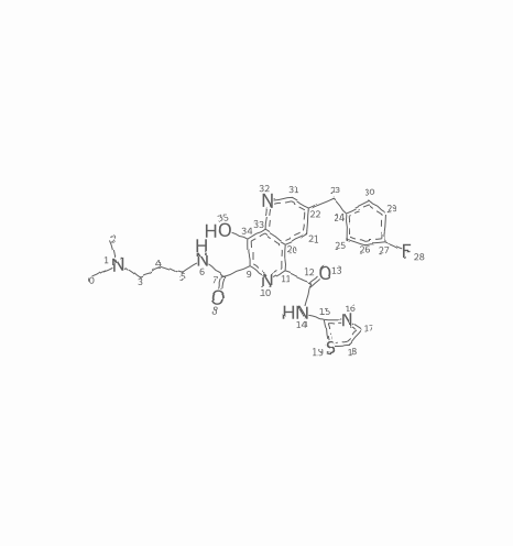 CN(C)CCCNC(=O)c1nc(C(=O)Nc2nccs2)c2cc(Cc3ccc(F)cc3)cnc2c1O